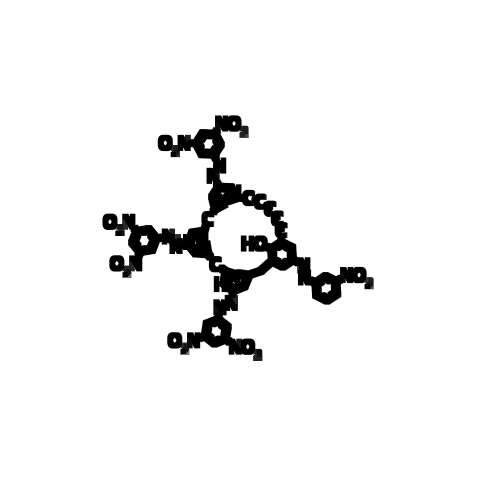 O=[N+]([O-])c1cccc(N=Nc2cc3c(O)c(c2)Cc2cc(N=Nc4cc([N+](=O)[O-])cc([N+](=O)[O-])c4)cc(c2O)Cc2cc(N=Nc4cc([N+](=O)[O-])cc([N+](=O)[O-])c4)cc(c2O)Cc2cc(N=Nc4cc([N+](=O)[O-])cc([N+](=O)[O-])c4)cc(c2O)CCCCC3)c1